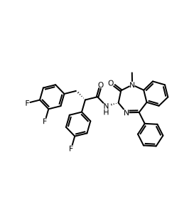 CN1C(=O)[C@@H](NC(=O)[C@@H](Cc2ccc(F)c(F)c2)c2ccc(F)cc2)N=C(c2ccccc2)c2ccccc21